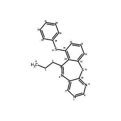 CCCC1=Nc2cncnc2Sc2cccc(Sc3ccccc3)c21